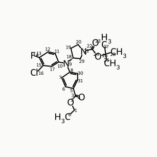 CCOC(=O)c1ccc(N(c2ccc(F)c(Cl)c2)[C@H]2CCN(C(=O)OC(C)(C)C)C2)cc1